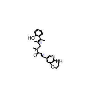 C/C(CN(C)C(=O)/C=C/c1cnc2c(c1)OCCN2)=C(/C)c1ccccc1O